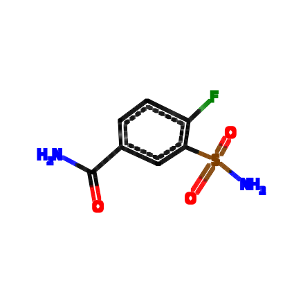 NC(=O)c1ccc(F)c(S(N)(=O)=O)c1